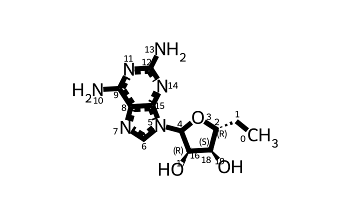 CC[C@H]1OC(n2cnc3c(N)nc(N)nc32)[C@H](O)[C@@H]1O